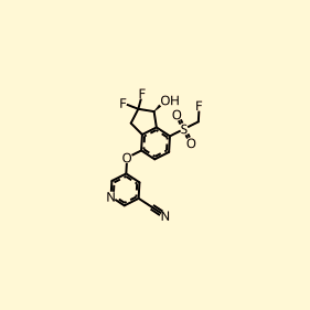 N#Cc1cncc(Oc2ccc(S(=O)(=O)CF)c3c2CC(F)(F)[C@H]3O)c1